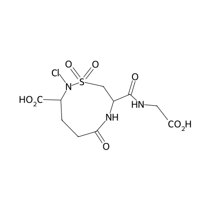 O=C(O)CNC(=O)C1CS(=O)(=O)N(Cl)C(C(=O)O)CCC(=O)N1